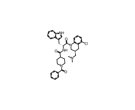 CN(C)C[C@@H]1Cc2c(Cl)cccc2N(C(=O)[C@@H](Cc2c[nH]c3ccccc23)NC(=O)C2CCN(C(=O)c3ccccc3)CC2)C1